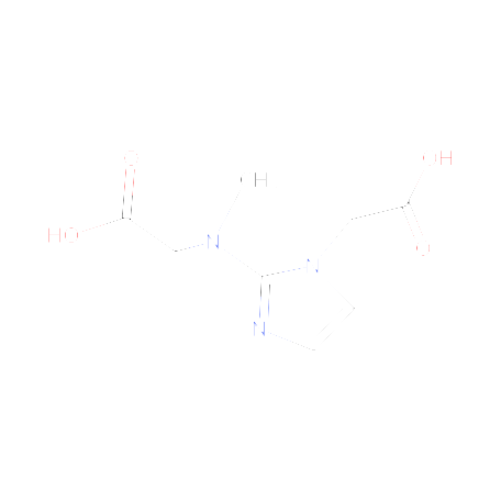 CN(CC(=O)O)c1nccn1CC(=O)O